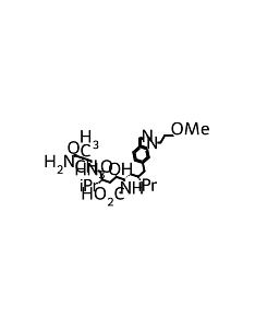 COCCCn1ncc2ccc(C[C@@H](C[C@H](NC(=O)O)[C@@H](O)C[C@H](C(=O)NCC(C)(C)C(N)=O)C(C)C)C(C)C)cc21